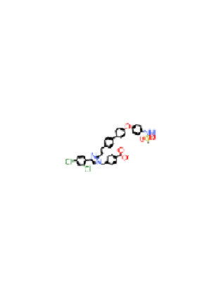 COC(=O)c1ccc(Cn2cc(-c3ccc(Cl)cc3Cl)nc2C=Cc2ccc(-c3ccc(Oc4ccc(NS(C)(=O)=O)cc4)cc3)cc2)cc1